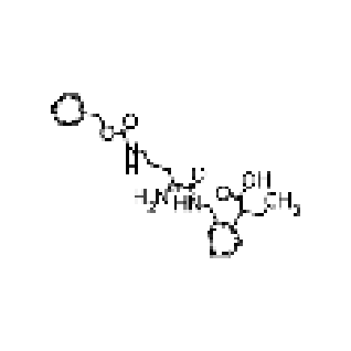 CCC(C(=O)O)c1ccccc1CNC(=O)[C@@H](N)CCCNC(=O)OCc1ccccc1